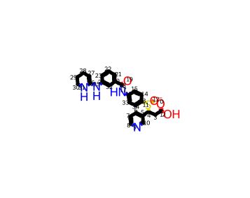 O=C(O)CC(c1cccnc1)[S+]([O-])c1ccc(NC(=O)c2cccc(NC3=CCCCN3)c2)cc1